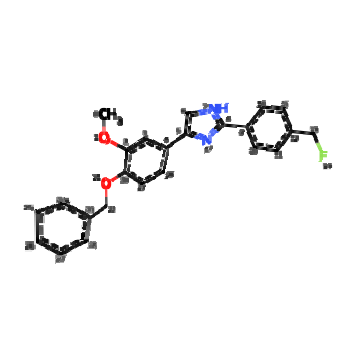 COc1cc(-c2c[nH]c(-c3ccc(CF)cc3)n2)ccc1OCc1ccccc1